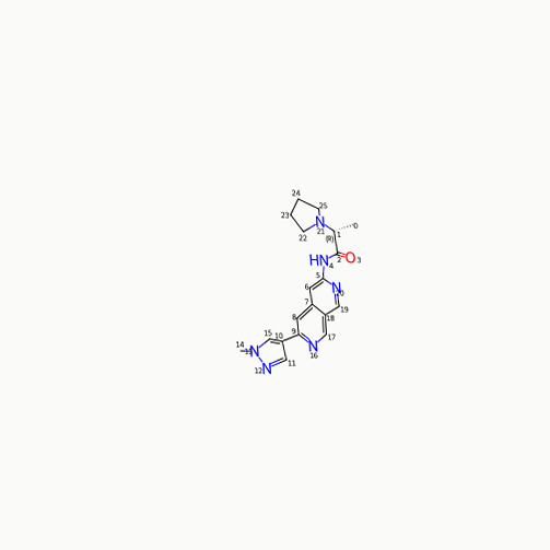 C[C@H](C(=O)Nc1cc2cc(-c3cnn(C)c3)ncc2cn1)N1CCCC1